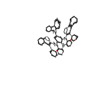 c1ccc(-c2c(N3c4ccccc4B4c5ccccc5N(c5oc6ccccc6c5-c5ccccc5)c5cc(-n6c7ccccc7c7ccccc76)cc3c54)oc3ccccc23)cc1